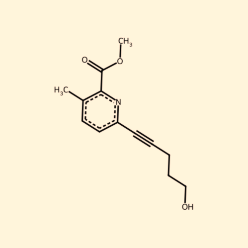 COC(=O)c1nc(C#CCCCO)ccc1C